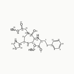 CCCCOC(=O)C(CCc1ccccc1)NC1CSC(c2cscn2)CN(CC(=O)OC(C)(C)C)C1=O